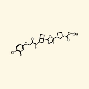 CC(C)(C)OC(=O)N1CCC(c2nnc(C34CCC3C(NC(=O)COc3ccc(Cl)c(F)c3)C4)o2)C1